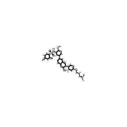 COc1ncc(-c2ccc3nc(N)c(-c4ccc(OCCCN(C)C)nc4)cc3c2)cc1NS(=O)(=O)c1ccc(F)cc1F